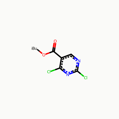 CCC(C)OC(=O)c1cnc(Cl)nc1Cl